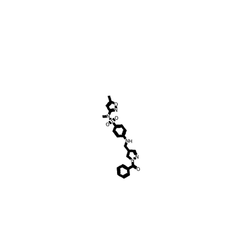 Cc1cc(N(C)S(=O)(=O)c2ccc(NCC3C=NN(C(=O)c4ccccc4)C3)cc2)no1